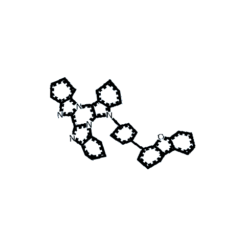 c1ccc2c(c1)nc1c3nc4ccccc4n3c3c(c4ccccc4n3-c3ccc(-c4cccc5c4oc4ccccc45)cc3)n21